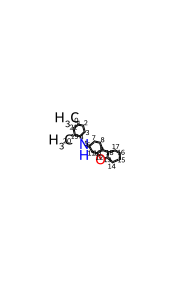 Cc1ccc(Nc2ccc3c(c2)oc2ccccc23)c(C)c1